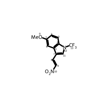 COc1ccc2c(c1)c(C=C[N+](=O)[O-])cn2C(F)(F)F